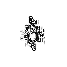 CCSC1SCC2CN(C)C3(CC3C)C(=O)OCC(NC(=O)c3nc4ccccc4cc3O)C(=O)NC(C)C(=O)N(C)C1C(=O)N(C)C1(CC1C)C(=O)OCC(NC(=O)c1nc3ccccc3cc1O)C(=O)NC(C)C(=O)N2C